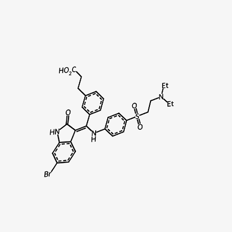 CCN(CC)CCS(=O)(=O)c1ccc(NC(=C2C(=O)Nc3cc(Br)ccc32)c2cccc(CCC(=O)O)c2)cc1